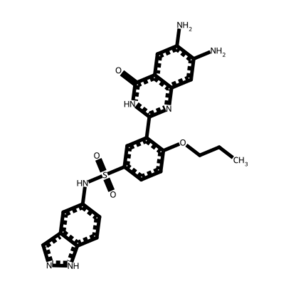 CCCOc1ccc(S(=O)(=O)Nc2ccc3[nH]ncc3c2)cc1-c1nc2cc(N)c(N)cc2c(=O)[nH]1